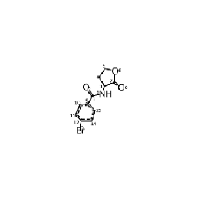 O=C(NC1CCOC1=O)c1ccc(Br)cc1